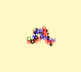 C=C[C@@H]1C[C@]1(NC(=O)[C@@H]1C[C@@H](Oc2cc(-c3csc(C(C)C)n3)nc3c2oc2ccc(OC)c(Cl)c23)CN1C(=O)[C@@H](NC(=O)OC(C)(C)C)C(C)(C)C)C(=O)NS(=O)(=O)C1CC1